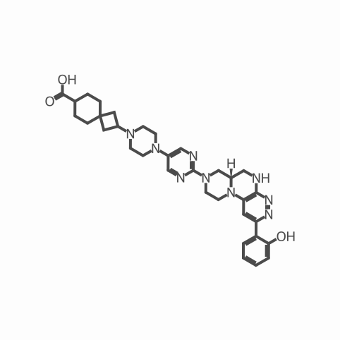 O=C(O)C1CCC2(CC1)CC(N1CCN(c3cnc(N4CCN5c6cc(-c7ccccc7O)nnc6NC[C@H]5C4)nc3)CC1)C2